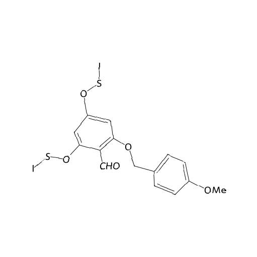 COc1ccc(COc2cc(OSI)cc(OSI)c2C=O)cc1